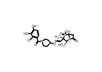 C[C@]1(/C=N/OC2CCN(C(=O)c3ccc(O)c(O)c3Cl)CC2)[C@H](C(=O)O)N2C(=O)C[C@H]2S1(=O)=O